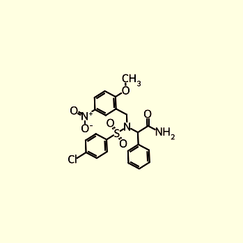 COc1ccc([N+](=O)[O-])cc1CN(C(C(N)=O)c1ccccc1)S(=O)(=O)c1ccc(Cl)cc1